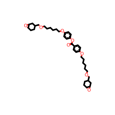 O=C(Oc1ccc(OCCCCCCOCC2CCC3OC3C2)cc1)c1ccc(OCCCCCCOCC2CCC3OC3C2)cc1